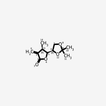 C=C1C(=O)OC([C@H]2COC(C)(C)O2)[C@@H]1C